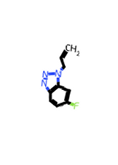 C=CCn1nnc2ccc(F)cc21